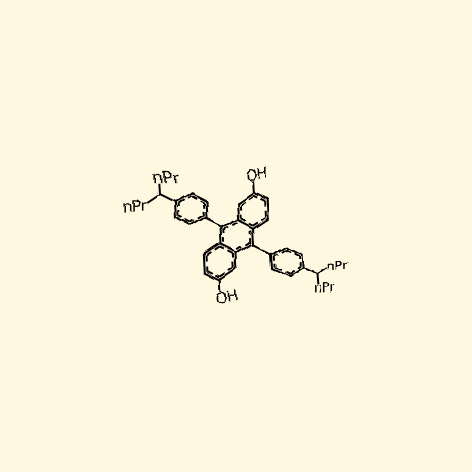 CCCC(CCC)c1ccc(-c2c3ccc(O)cc3c(-c3ccc(C(CCC)CCC)cc3)c3ccc(O)cc23)cc1